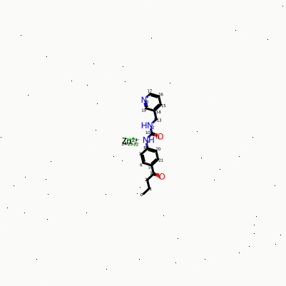 CCCC(=O)c1ccc(NC(=O)NCc2cccnc2)cc1.[Cl-].[Cl-].[Zn+2]